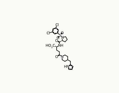 O=C(O)[C@H](CCC(=O)N1CCC(Cc2ccc[nH]2)CC1)NC(=O)[C@@H]1CCCN1S(=O)(=O)c1cc(Cl)cc(Cl)c1